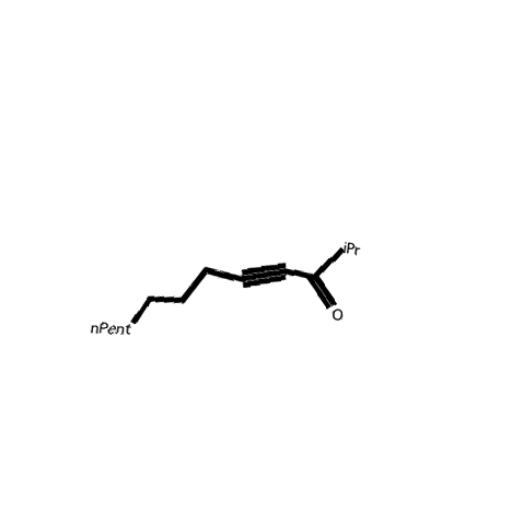 CCCCCCCCC#CC(=O)C(C)C